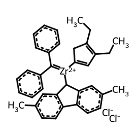 CCC1=C(CC)C[C]([Zr+2](=[C](c2ccccc2)c2ccccc2)[CH]2c3cc(C)ccc3-c3ccc(C)cc32)=C1.[Cl-].[Cl-]